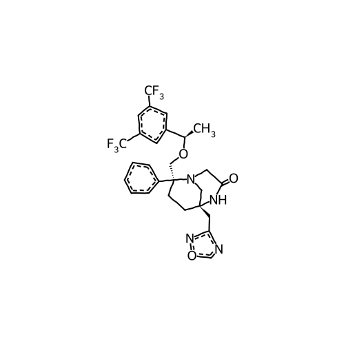 C[C@@H](OC[C@@]1(c2ccccc2)CC[C@]2(Cc3ncon3)CN1CC(=O)N2)c1cc(C(F)(F)F)cc(C(F)(F)F)c1